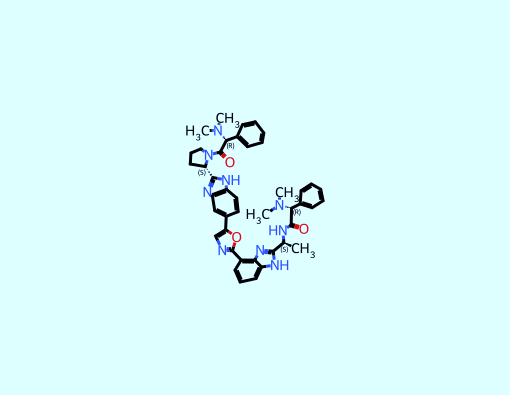 C[C@H](NC(=O)[C@@H](c1ccccc1)N(C)C)c1nc2c(-c3ncc(-c4ccc5[nH]c([C@@H]6CCCN6C(=O)[C@@H](c6ccccc6)N(C)C)nc5c4)o3)cccc2[nH]1